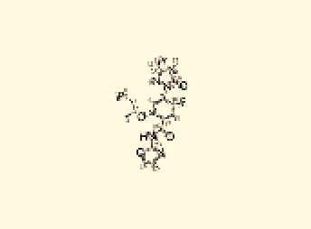 CC(C)C[C@H](C)Oc1cc(-n2nc(C(C)C)n(C)c2=O)c(F)cc1C(=O)Nc1ncco1